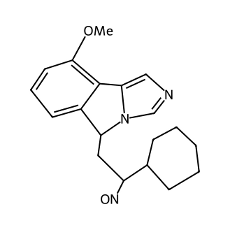 COc1cccc2c1-c1cncn1C2CC(N=O)C1CCCCC1